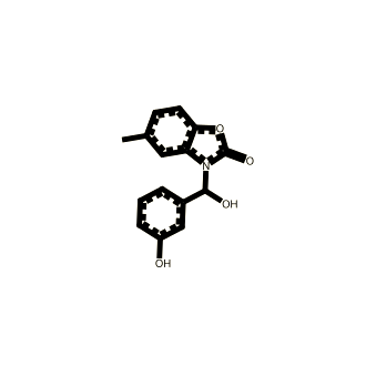 Cc1ccc2oc(=O)n(C(O)c3cccc(O)c3)c2c1